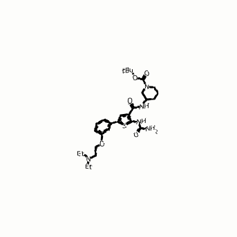 CCN(CC)CCOc1cccc(-c2cc(C(=O)NC3CCCN(C(=O)OC(C)(C)C)C3)c(NC(N)=O)s2)c1